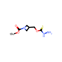 CC(C)(C)OC(=O)N1CC(COC(=S)NN)C1